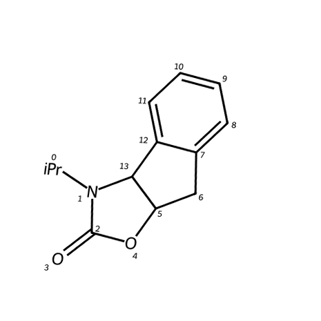 CC(C)N1C(=O)OC2Cc3ccccc3C21